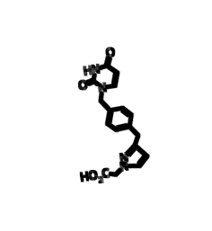 O=C(O)Cn1ccc(Cc2ccc(Cn3ccc(=O)[nH]c3=O)cc2)n1